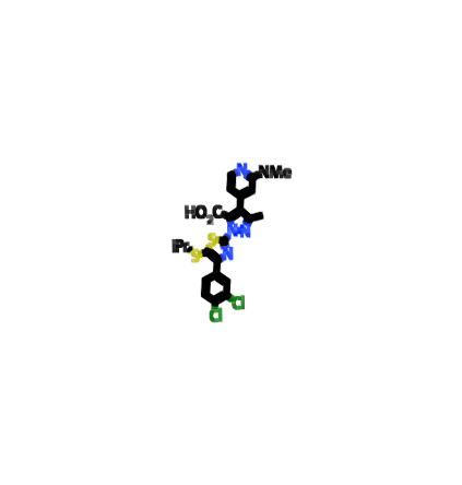 CNc1cc(-c2c(C)nn(-c3nc(-c4ccc(Cl)c(Cl)c4)c(SC(C)C)s3)c2C(=O)O)ccn1